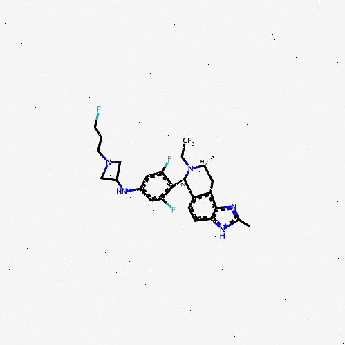 Cc1nc2c3c(ccc2[nH]1)[C@@H](c1c(F)cc(NC2CN(CCCF)C2)cc1F)N(CC(F)(F)F)[C@H](C)C3